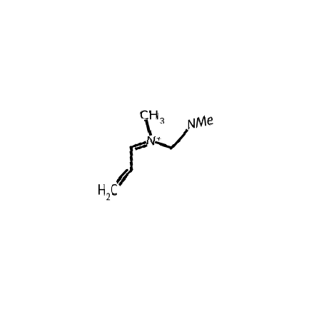 C=C/C=[N+](/C)CNC